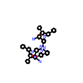 N#Cc1ccc(-c2ccccc2-c2nc(-c3ccc(-n4c5ccc(-c6ccccc6)cc5c5cc(-c6ccccc6)ccc54)c(-c4cccc(C#N)c4)c3)nc(-c3ccc(-n4c5ccc(-c6ccccc6)cc5c5cc(-c6ccccc6)ccc54)c(-c4cccc(C#N)c4)c3)n2)cc1